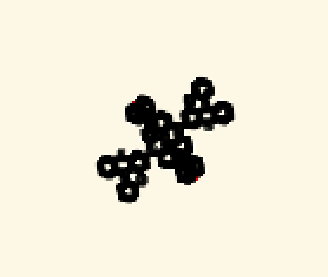 c1ccc(-c2ccc3c(c2)S2(c4cc(-c5ccccc5)ccc4N3c3cc4c5c(c3)Sc3ccccc3B5c3ccccc3O4)c3cc(-c4ccccc4)ccc3N(c3cc4c5c(c3)Sc3ccccc3B5c3ccccc3O4)c3ccc(-c4ccccc4)cc32)cc1